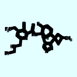 CC(C)CNCc1cn(CC(F)(F)F)c(=O)c(C(=O)Nc2cc(C3(c4nncn4C)CC(C)C3)ccc2F)n1